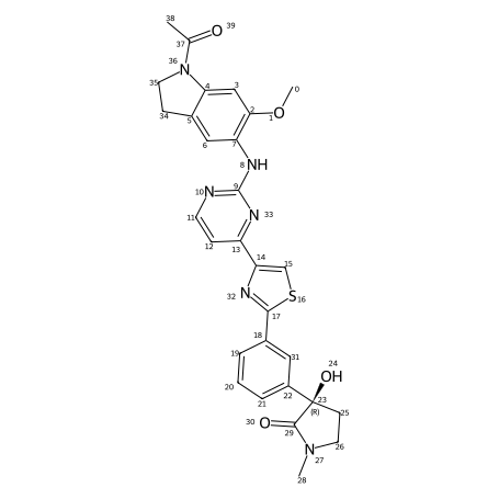 COc1cc2c(cc1Nc1nccc(-c3csc(-c4cccc([C@]5(O)CCN(C)C5=O)c4)n3)n1)CCN2C(C)=O